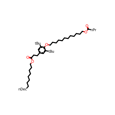 [CH2]CCC(=O)OCCCCCCCCCCCCOc1c(C(C)(C)C)cc(CCC(=O)OCCCCCCCCCCCCCCCCCC)cc1C(C)(C)C